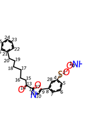 NOOSc1cccc(-c2cnc(C(=O)CCCCCCc3ccccc3)o2)c1